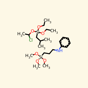 CCO[Si](CC(C)C)(OCC)OC(C)Cl.CO[Si](CCCNc1ccccc1)(OC)OC